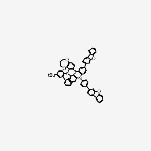 Cc1cc2c3c(c1)N(c1ccc(C(C)(C)C)cc1-c1ccccc1)c1c(ccc4c1OCCCO4)B3c1cc(-c3ccc4c(c3)oc3ccccc34)ccc1N2c1ccc(-c2ccc3c(c2)oc2ccccc23)cc1